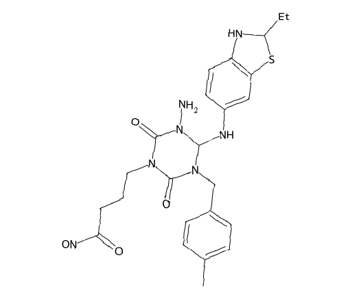 CCC1Nc2ccc(NC3N(N)C(=O)N(CCCC(=O)N=O)C(=O)N3Cc3ccc(C)cc3)cc2S1